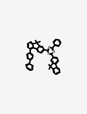 CC1(C)c2ccccc2-c2ccc(-c3nc(-c4ccccc4)nc(-c4ccc5c(c4)C(C)(C)c4cccc(-c6ccc(-c7ccccc7)cc6)c4-5)n3)cc21